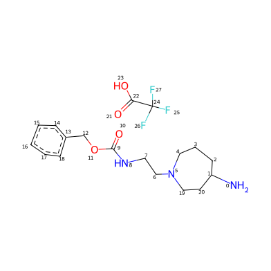 NC1CCCN(CCNC(=O)OCc2ccccc2)CC1.O=C(O)C(F)(F)F